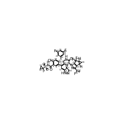 CC1(S(=O)(=O)NC(=O)c2cc(-c3cc4[nH]ncc4nc3[C@H](Cc3cc(F)cc(F)c3)NC(=O)Cn3nc(C(F)F)c4c3C(F)(F)[C@@H]3C[C@H]43)ccc2Cl)CC1